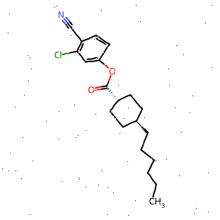 CCCCCC[C@H]1CC[C@H](C(=O)Oc2ccc(C#N)c(Cl)c2)CC1